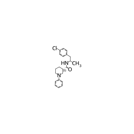 CC(Cc1ccc(Cl)cc1)NC(=O)[C@H]1CCCN(c2ccccc2)C1